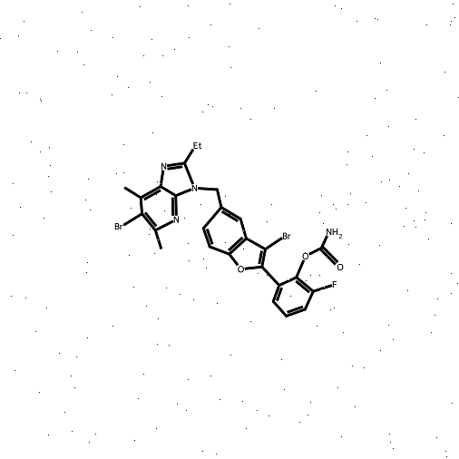 CCc1nc2c(C)c(Br)c(C)nc2n1Cc1ccc2oc(-c3cccc(F)c3OC(N)=O)c(Br)c2c1